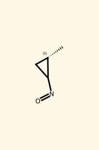 C[C@H]1CC1N=O